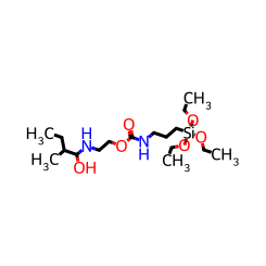 CCO[Si](CCCNC(=O)OCCNC(O)C(C)CC)(OCC)OCC